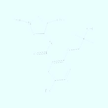 CCCCc1cn(C(C)(C)C)sc1=NC(=O)c1cc(C(F)(F)F)ccc1OCC(C)(C)O